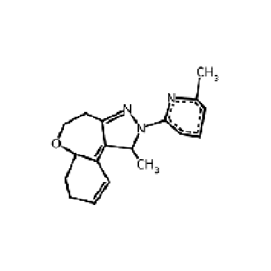 Cc1cccc(N2N=C3CCOC4CCC=CC4=C3C2C)n1